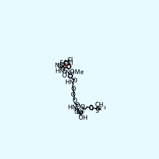 COc1cc(C(=O)NCCOCCOCCOCC(=O)N[C@H](C(=O)N2C[C@H](O)C[C@H]2C(=O)CCc2ccc(-c3scnc3C)cc2)C(C)(C)C)ccc1NC(=O)[C@@H]1N[C@@H](CC(C)(C)C)[C@](C#N)(c2ccc(Cl)cc2F)C1c1cccc(Cl)c1F